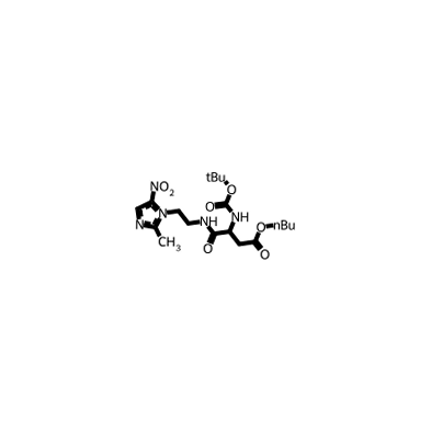 CCCCOC(=O)CC(NC(=O)OC(C)(C)C)C(=O)NCCn1c([N+](=O)[O-])cnc1C